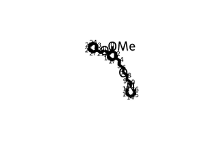 COc1cc(/C=C/COCCCN2CCCCC2)ccc1OCc1ccccc1